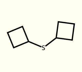 C1CC(SC2CCC2)C1